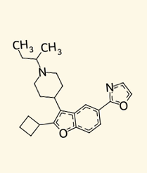 CCC(C)N1CCC(c2c(C3CCC3)oc3ccc(-c4ncco4)cc23)CC1